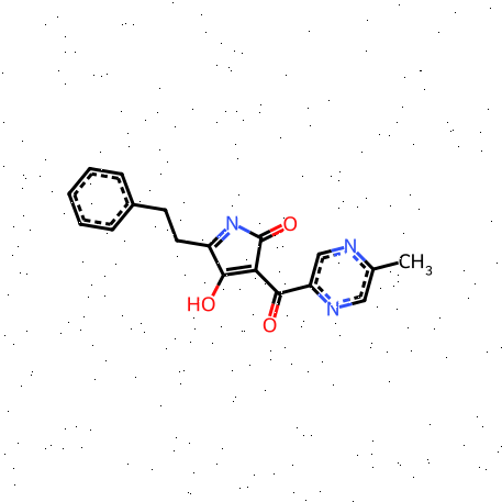 Cc1cnc(C(=O)C2=C(O)C(CCc3ccccc3)=NC2=O)cn1